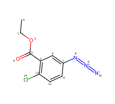 CCOC(=O)c1cc(N=[N+]=[N-])ccc1Cl